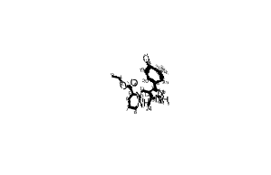 CCOC(=O)C1CCCNN1Cc1c(-c2ccc(Cl)cc2)n[nH]c1C